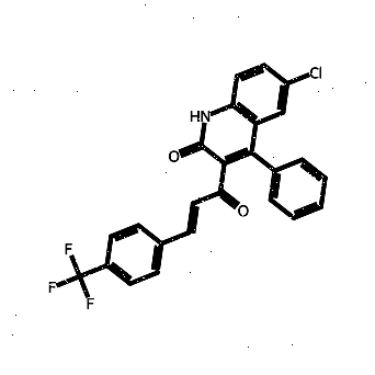 O=C(/C=C/c1ccc(C(F)(F)F)cc1)c1c(-c2ccccc2)c2cc(Cl)ccc2[nH]c1=O